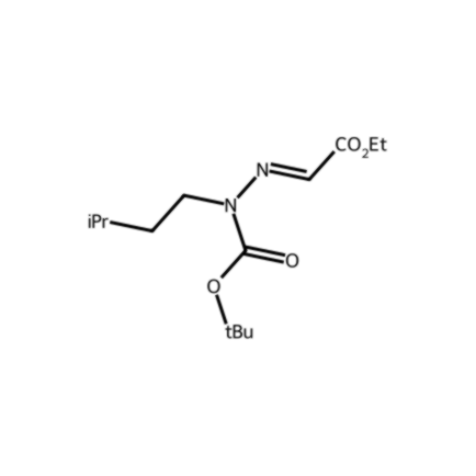 CCOC(=O)/C=N/N(CCC(C)C)C(=O)OC(C)(C)C